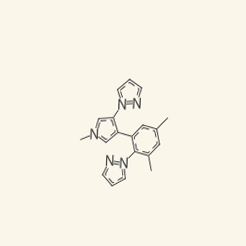 Cc1cc(C)c(-n2cccn2)c(-c2cn(C)cc2-n2cccn2)c1